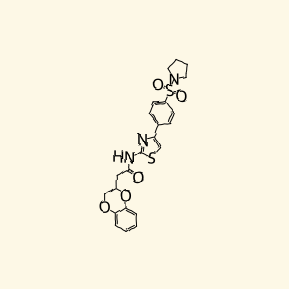 O=C(CC1COc2ccccc2O1)Nc1nc(-c2ccc(S(=O)(=O)N3CCCC3)cc2)cs1